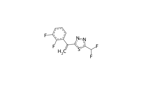 C=C(c1nnc(C(F)F)s1)c1cccc(F)c1F